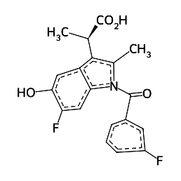 Cc1c([C@@H](C)C(=O)O)c2cc(O)c(F)cc2n1C(=O)c1cccc(F)c1